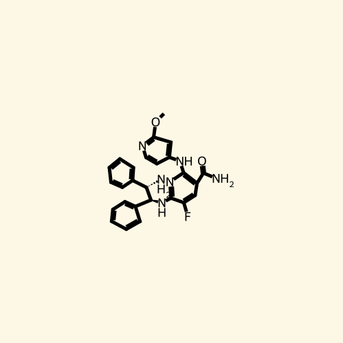 COc1cc(Nc2nc(N[C@@H](c3ccccc3)[C@@H](N)c3ccccc3)c(F)cc2C(N)=O)ccn1